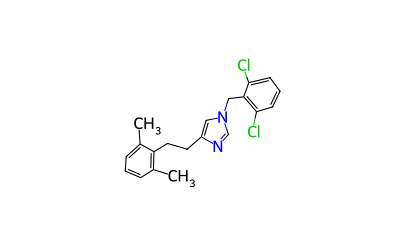 Cc1cccc(C)c1CCc1cn(Cc2c(Cl)cccc2Cl)cn1